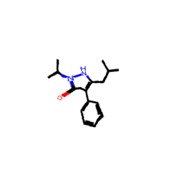 CC(C)Cc1[nH]n(C(C)C)c(=O)c1-c1ccccc1